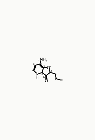 CCCC1OC2=C(N)C=CNC2C1=O